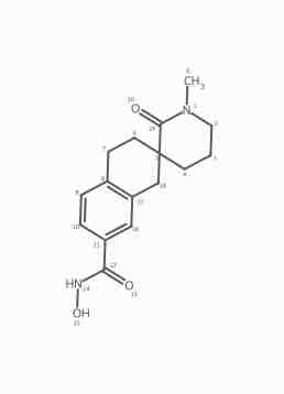 CN1CCCC2(CCc3ccc(C(=O)NO)cc3C2)C1=O